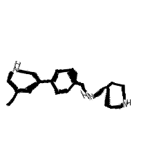 CC1=CNCC(c2ccc(CNC3CCNC3)cc2)=C1